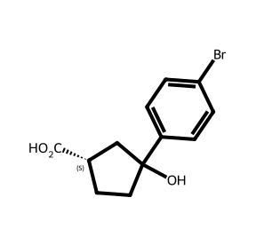 O=C(O)[C@H]1CCC(O)(c2ccc(Br)cc2)C1